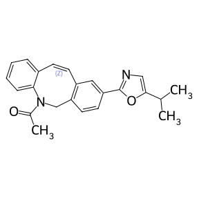 CC(=O)N1Cc2ccc(-c3ncc(C(C)C)o3)cc2/C=C\c2ccccc21